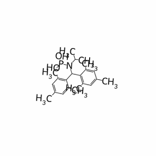 Cc1cc(C)c(C(c2c(C)cc(C)cc2C)N(C(C)C)P(O)O)c(C)c1